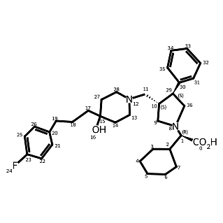 O=C(O)[C@@H](C1CCCCC1)N1C[C@H](CN2CCC(O)(CCCc3ccc(F)cc3)CC2)[C@@H](c2ccccc2)C1